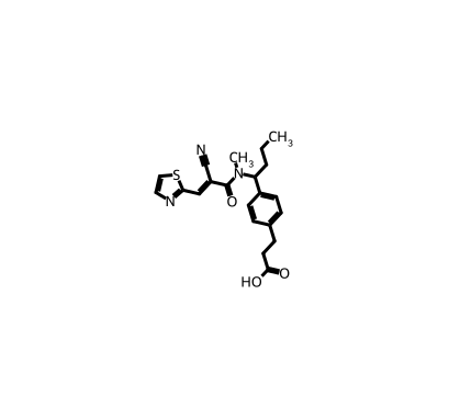 CCCC(c1ccc(CCC(=O)O)cc1)N(C)C(=O)C(C#N)=Cc1nccs1